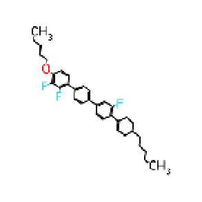 CCCCCOc1ccc(-c2ccc(-c3ccc(C4=CCC(CCCCC)CC4)c(F)c3)cc2)c(F)c1F